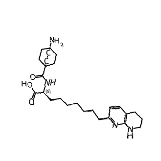 NC12CCC(C(=O)N[C@@H](CCCCCCCc3ccc4c(n3)NCCC4)C(=O)O)(CC1)CC2